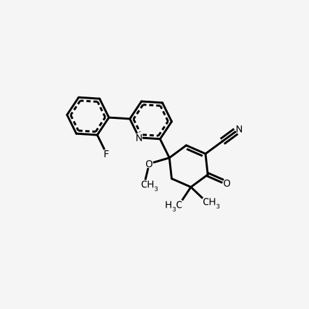 COC1(c2cccc(-c3ccccc3F)n2)C=C(C#N)C(=O)C(C)(C)C1